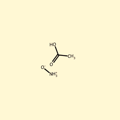 CC(=O)O.[NH3+][O-]